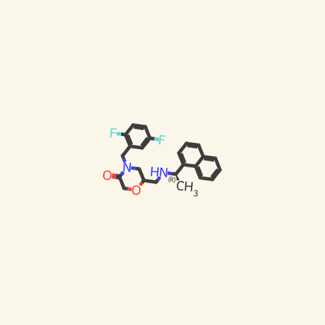 C[C@@H](NCC1CN(Cc2cc(F)ccc2F)C(=O)CO1)c1cccc2ccccc12